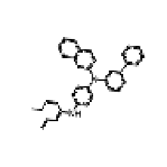 C=C/C=C(\C=C/CC)Nc1ccc(N(c2cccc(-c3ccccc3)c2)c2ccc3ccccc3c2)cc1